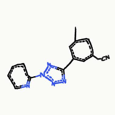 Cc1cc(C#N)cc(-c2nnn(-c3ccccn3)n2)c1